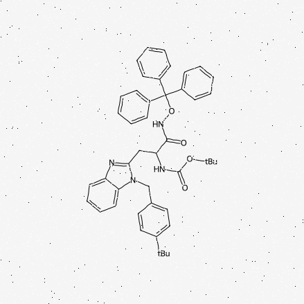 CC(C)(C)OC(=O)NC(Cc1nc2ccccc2n1Cc1ccc(C(C)(C)C)cc1)C(=O)NOC(c1ccccc1)(c1ccccc1)c1ccccc1